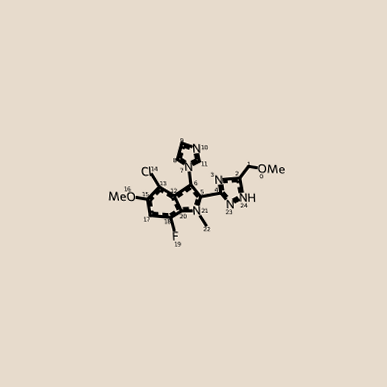 COCc1nc(-c2c(-n3ccnc3)c3c(Cl)c(OC)cc(F)c3n2C)n[nH]1